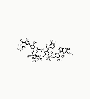 CNC(=O)C[C@H]1[C@@H](OC)[C@H](n2c[n+](C)c3c(=O)[nH]c(N)nc32)O[C@@H]1COP(=O)(O)OP(=O)(O)OP(=O)(O)OC[C@H]1O[C@@H](n2cnc3c(N)ncnc32)[C@H](OC)[C@@H]1P(=O)([O-])OCC1O[C@@H](n2cnc3c2N=C(N)NC3)[C@H](O)[C@@H]1O